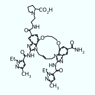 CCn1nc(C)cc1C(=O)Nc1nc2cc(C(N)=O)cc3c2n1C/C=C/Cn1c(NC(=O)c2cc(C)nn2CC)nc2cc(C(=O)NCCN4CCCC4C(=O)O)cc(c21)OCCCO3